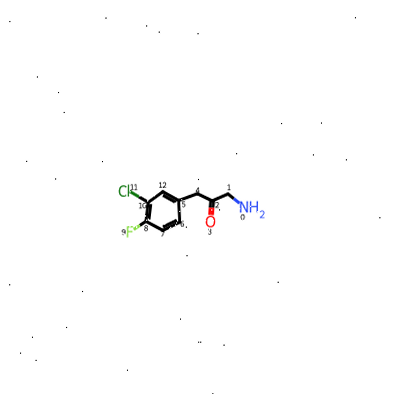 NCC(=O)Cc1ccc(F)c(Cl)c1